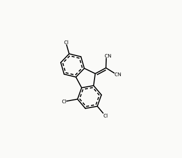 N#CC(C#N)=C1c2cc(Cl)ccc2-c2c(Cl)cc(Cl)cc21